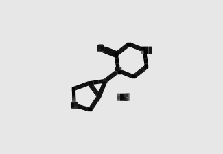 Cl.O=C1CNCCN1C1C2COCC21